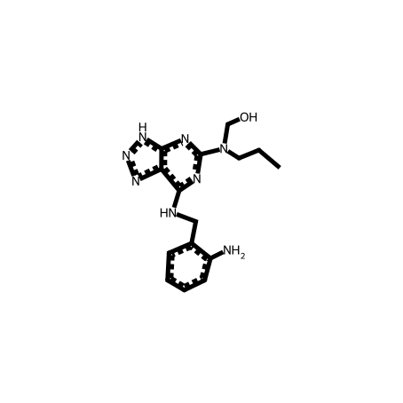 CCCN(CO)c1nc(NCc2ccccc2N)c2nn[nH]c2n1